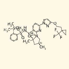 C[C@@H]1CN(c2nc(-n3ccc(OCCC4(C(F)(F)F)CC4)n3)ccc2C(=O)NS(=O)(=O)c2ccccc2[Si](C)(C)C)C(C)(C)C1